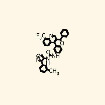 Cc1cccc(-c2nocc2NC(=O)Nc2cccc(-c3c(C(=O)c4ccccc4)cnc4c(C(F)(F)F)cccc34)c2)c1